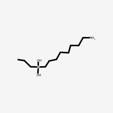 CCC[Si](O)(O)CCCCCCCCN